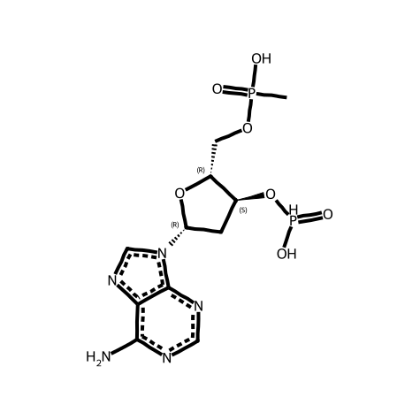 CP(=O)(O)OC[C@H]1O[C@@H](n2cnc3c(N)ncnc32)C[C@@H]1O[PH](=O)O